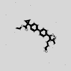 CCOC(=O)C1(c2ccc(-c3ccc(-c4onc(C)c4CCC=O)cc3)cc2)CC1